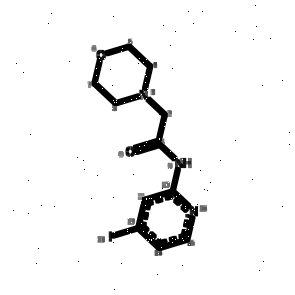 O=C(CN1CCOCC1)Nc1cc(I)ccn1